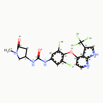 CN1CC(NC(=O)Nc2cc(F)c(Oc3ccnc4[nH]cc(C(F)(F)F)c34)c(F)c2)CC1=O